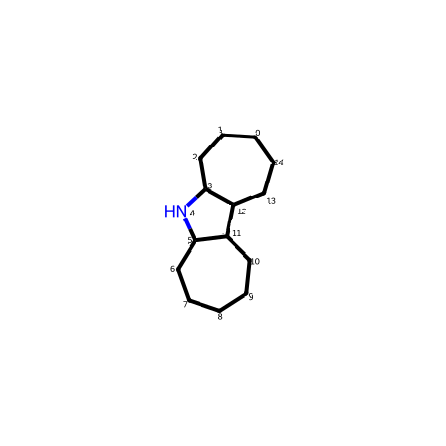 C1CCC2NC3CCCCCC3C2CC1